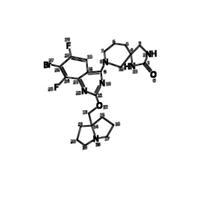 O=C1NCC2(CCCN(c3nc(OCC45CCCN4CCC5)nc4c(F)c(Br)c(F)cc34)C2)N1